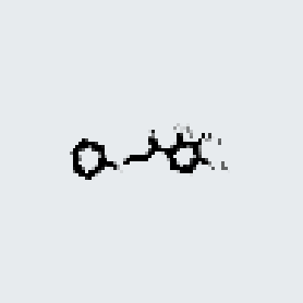 Cc1ccc(C(=O)CCOc2[c]cccc2)c(C)c1C